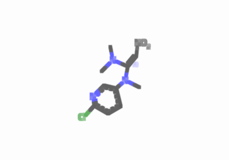 CN(C)/C(=C\[N+](=O)[O-])N(C)c1ccc(Cl)nc1